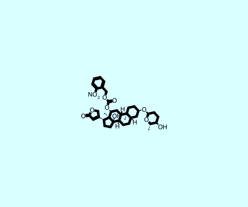 C[C@@H]1O[C@@H](O[C@H]2CC[C@@]3(C)[C@H](CC[C@@H]4[C@@H]3C[C@@H](OC(=O)OCc3ccccc3[N+](=O)[O-])[C@]3(C)[C@@H](C5=CC(=O)OC5)CC[C@]43O)C2)CC[C@H]1O